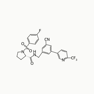 N#Cc1cc(CNC(=O)[C@@H]2CCCN2S(=O)(=O)c2ccc(F)cc2)cc(-c2ccc(C(F)(F)F)nc2)c1